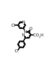 O=C(O)c1cc(-c2ccc(Cl)cc2)nn(-c2cncc(Cl)c2)c1=O